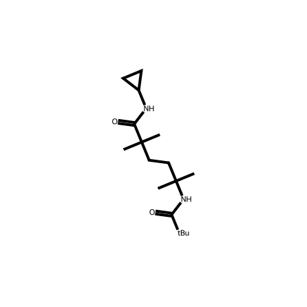 CC(C)(CCC(C)(C)C(=O)NC1CC1)NC(=O)C(C)(C)C